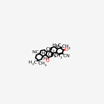 CC1(C)CC[C@]2(C#N)CC[C@]3(C)[C@H](C(=O)C=C4[C@@]5(C)C=C(C#N)C(=O)C(C)(C)[C@@H]5CC[C@]43C)[C@@H]2C1